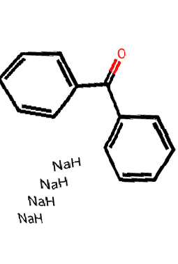 O=C(c1ccccc1)c1ccccc1.[NaH].[NaH].[NaH].[NaH]